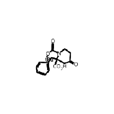 CC(C)(C)OC(=O)N1CCC(=O)CC1(Cc1ccccc1)C(=O)O